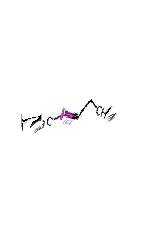 CC/C=I/C